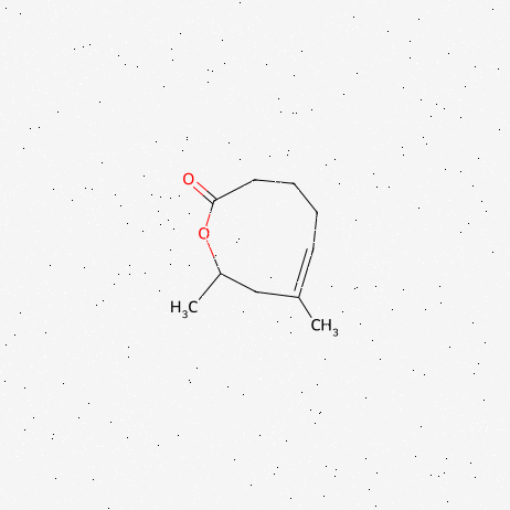 CC1=CCCCC(=O)OC(C)C1